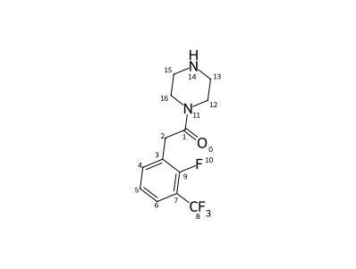 O=C(Cc1cccc(C(F)(F)F)c1F)N1CCNCC1